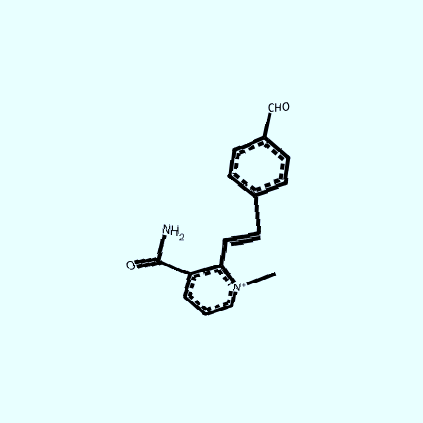 C[n+]1cccc(C(N)=O)c1C=Cc1ccc(C=O)cc1